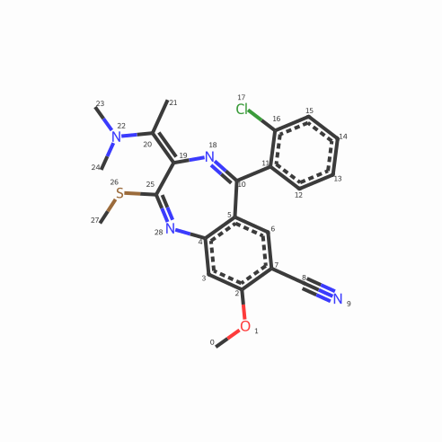 COc1cc2c(cc1C#N)C(c1ccccc1Cl)=NC(=C(C)N(C)C)C(SC)=N2